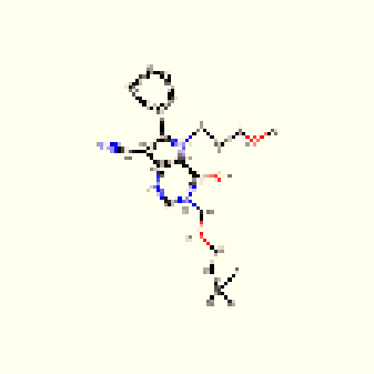 COCCCn1c(-c2ccccc2)c(C#N)c2ncn(COCC[Si](C)(C)C)c(=O)c21